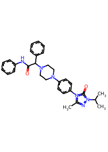 Cc1nn(C(C)C)c(=O)n1-c1ccc(N2CCN(C(C(=O)Nc3ccccc3)c3ccccc3)CC2)cc1